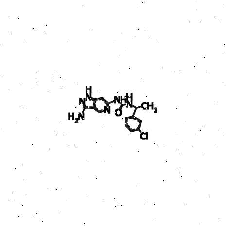 CC(NC(=O)Nc1cc2[nH]nc(N)c2cn1)c1cccc(Cl)c1